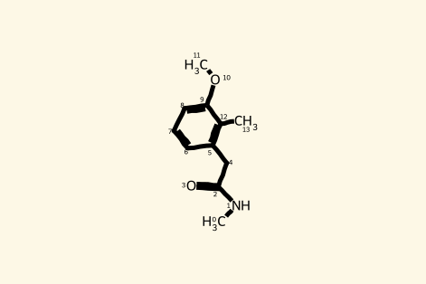 CNC(=O)Cc1cccc(OC)c1C